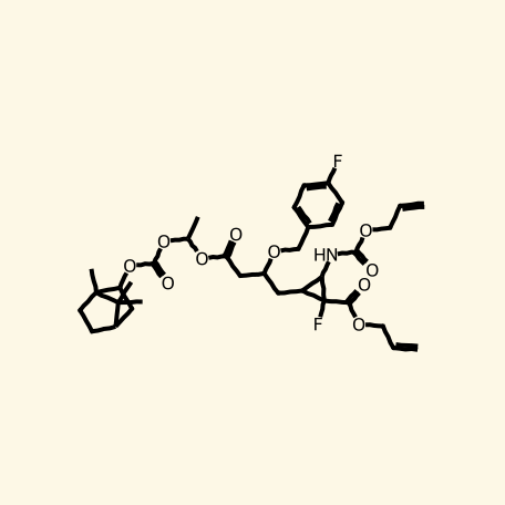 C=CCOC(=O)NC1C(CC(CC(=O)OC(C)OC(=O)OC2CC3CCC2(C)C3(C)C)OCc2ccc(F)cc2)C1(F)C(=O)OCC=C